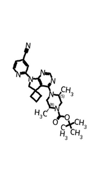 C[C@@H]1CN(c2ncnc3c2C2(CCC2)CN3c2cc(C#N)ccn2)[C@@H](C)CN1C(=O)OC(C)(C)C